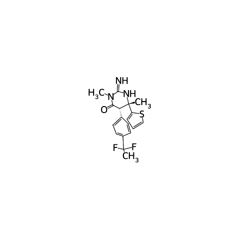 CN1C(=N)N[C@](C)(c2cccs2)[C@H](c2ccc(C(C)(F)F)cc2)C1=O